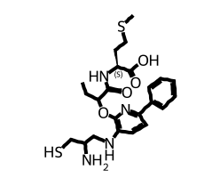 CCC(Oc1nc(-c2ccccc2)ccc1NCC(N)CS)C(=O)N[C@@H](CCSC)C(=O)O